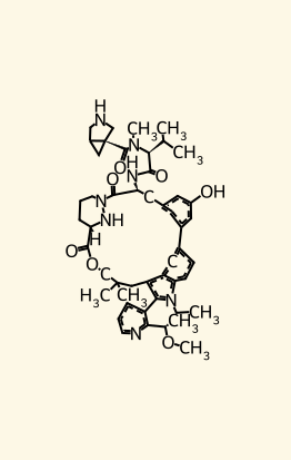 CCn1c(-c2cccnc2[C@H](C)OC)c2c3cc(ccc31)-c1cc(O)cc(c1)C[C@H](NC(=O)[C@H](C(C)C)N(C)C(=O)[C@]13CNCC1C3)C(=O)N1CCC[C@H](N1)C(=O)OCC(C)(C)C2